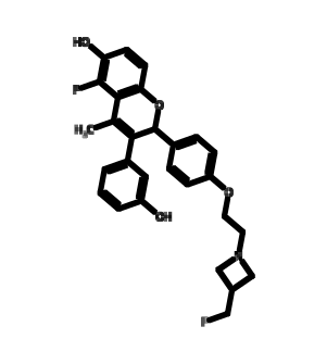 CC1=C(c2cccc(O)c2)C(c2ccc(OCCN3CC(CF)C3)cc2)Oc2ccc(O)c(F)c21